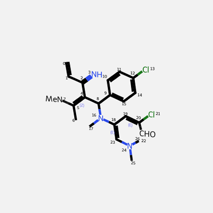 C=CC(=N)/C(=C(/C)NC)C(c1ccc(Cl)cc1)N(C)C(/C=C(/Cl)C=O)=C/N(C)C